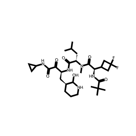 CC(C)C[C@@H](C(=O)N[C@@H](C[C@@H]1CCCNC1O)C(=O)C(=O)NC1CC1)N(C)C(=O)[C@H](NC(=O)C(C)(C)C)C1CC(F)(F)C1